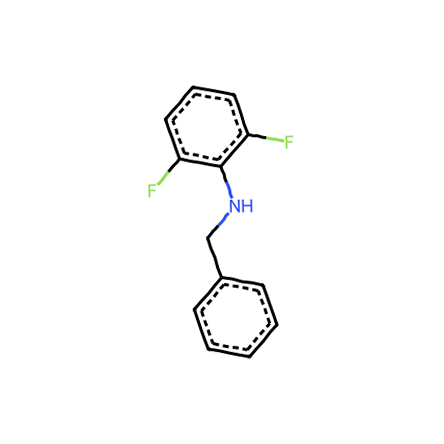 Fc1cccc(F)c1NCc1ccccc1